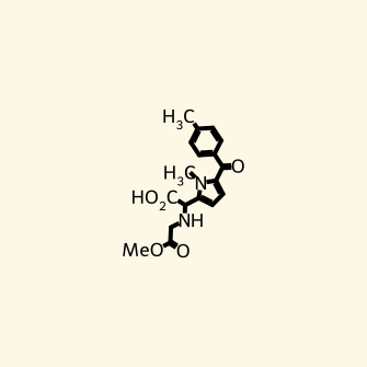 COC(=O)CNC(C(=O)O)c1ccc(C(=O)c2ccc(C)cc2)n1C